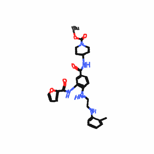 Cc1ccccc1NCCNc1ccc(C(=O)NC2CCN(C(=O)OC(C)(C)C)CC2)cc1NC(=O)c1ccco1